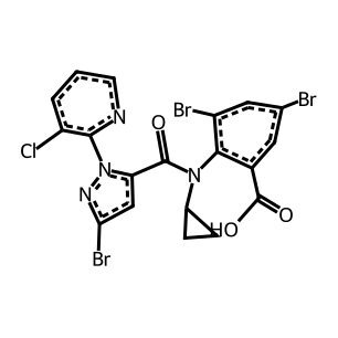 O=C(O)c1cc(Br)cc(Br)c1N(C(=O)c1cc(Br)nn1-c1ncccc1Cl)C1CC1